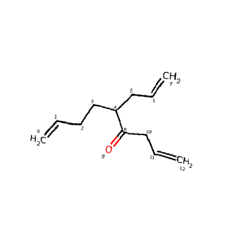 C=CCCC(CC=C)C(=O)CC=C